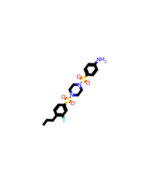 CCCc1ccc(S(=O)(=O)N2CCN(S(=O)(=O)c3ccc(N)cc3)CC2)cc1F